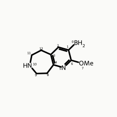 Bc1cc2c(nc1OC)CCNCC2